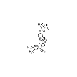 CC(C)[C@@H](C)/C=C/[C@@H](C)[C@H]1CC[C@H]2C3=CC=C4CC(OC(=O)CC(C)(C)C)CC[C@]4(C)[C@H]3CC[C@]12C